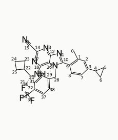 Cc1cc(C2CC2)ccc1-c1nc2nc(C#N)nc(N[C@H](C)C3CCC3)c2n1Cc1ccc(C(F)(F)F)cc1